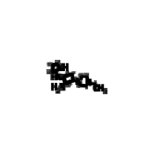 CCN1CCN(c2ccc(Nc3ccc[nH]3)c(N)c2)CC1